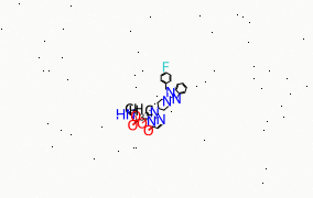 CNOC(=O)OCn1c(N(C)C2CCN(c3nc4ccccc4n3Cc3ccc(F)cc3)CC2)nccc1=O